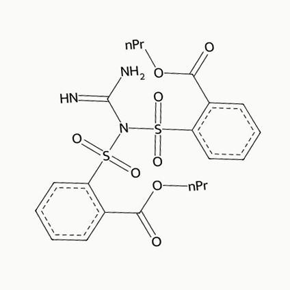 CCCOC(=O)c1ccccc1S(=O)(=O)N(C(=N)N)S(=O)(=O)c1ccccc1C(=O)OCCC